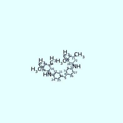 CC1CC(Nc2ccc(Cc3ccc(NC4CC(C)CC(C)(C)C4)cc3)cc2)CC(C)(C)C1